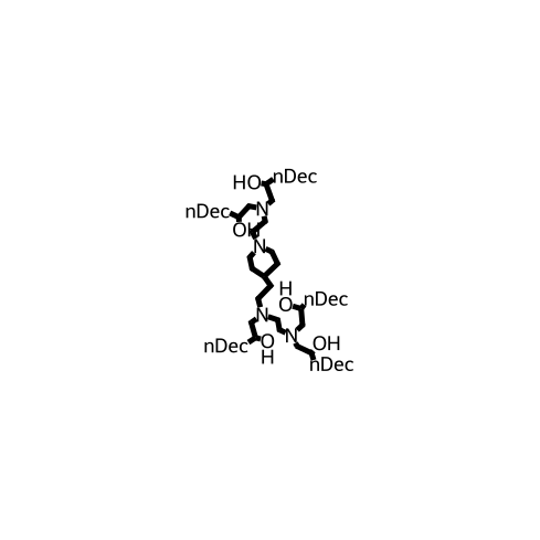 CCCCCCCCCCC(O)CN(CCC1CCN(CCN(CC(O)CCCCCCCCCC)CC(O)CCCCCCCCCC)CC1)CCN(CC(O)CCCCCCCCCC)CC(O)CCCCCCCCCC